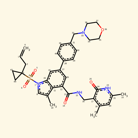 C=CCC1(S(=O)(=O)n2cc(C)c3c(C(=O)NCc4c(C)cc(C)[nH]c4=O)cc(-c4ccc(CN5CCOCC5)cc4)cc32)CC1